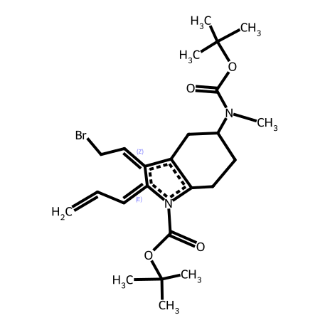 C=C/C=c1\c(=C/CBr)c2c(n1C(=O)OC(C)(C)C)CCC(N(C)C(=O)OC(C)(C)C)C2